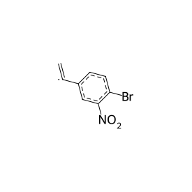 C=[C]c1ccc(Br)c([N+](=O)[O-])c1